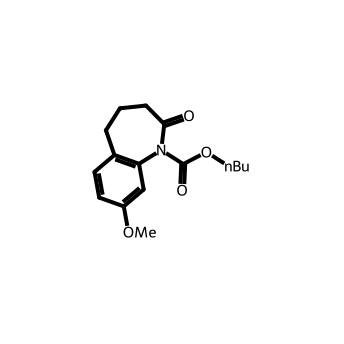 CCCCOC(=O)N1C(=O)CCCc2ccc(OC)cc21